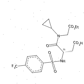 CCOC(=O)CN(C(=O)[C@H](CC(=O)O)NS(=O)(=O)c1ccc(C(F)(F)F)cc1)C1CC1